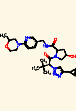 CC1CN(c2ccc(CNC(=O)C3CC(O)CN3C(=O)[C@@H](n3cc(C4CC4)nn3)C(C)(C)C)cn2)CCO1